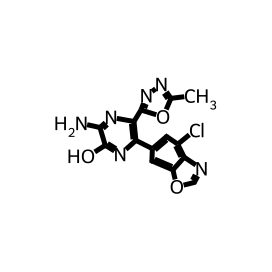 Cc1nnc(-c2nc(N)c(O)nc2-c2cc(Cl)c3ncoc3c2)o1